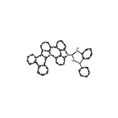 c1ccc(C2NC(n3c4cccc5c6cccc7c8c9ccccc9c9ccccc9c8n(c8cccc3c8c54)c67)Nc3ccccc32)cc1